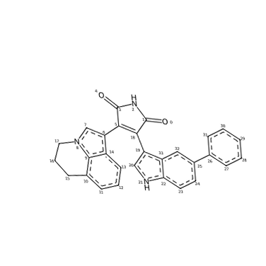 O=C1NC(=O)C(c2cn3c4c(cccc24)CCC3)=C1c1c[nH]c2ccc(-c3ccccc3)cc12